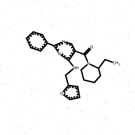 CCC1CCCCN1C(=O)c1cnc(-c2ccccc2)nc1NCc1ccco1